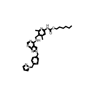 CCCCCCOC(=O)Nc1cc(C)c(CNc2ncnc3nn(Cc4ccc(Cn5cccn5)cc4)cc23)c(C)n1